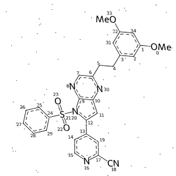 COc1cc(CCc2cnc3c(cc(-c4ccnc(C#N)c4)n3S(=O)(=O)c3ccccc3)n2)cc(OC)c1